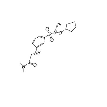 CC(C)N(OC1CCCC1)S(=O)(=O)c1cccc(NCC(=O)N(C)C)c1